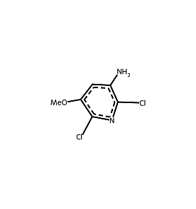 COc1cc(N)c(Cl)nc1Cl